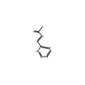 C=C(C)C=Cc1ccccn1